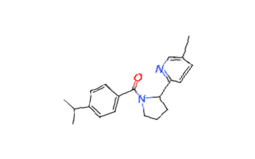 Cc1ccc(C2CCCN2C(=O)c2ccc(C(C)C)cc2)nc1